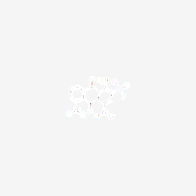 Nc1c(S(=O)(=O)Cl)cc([N+](=O)[O-])c2c1C(=O)c1cccc([N+](=O)[O-])c1C2=O